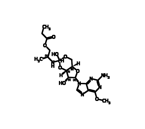 CCC(=O)OC[C@H](C)N[PH]1(O)OC[C@H]2O[C@@H](n3cnc4c(OC)nc(N)nc43)[C@@H](O)[C@@H]2O1